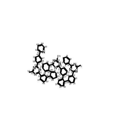 Cc1nc(-c2ccccc2)nc(-c2cccc(-c3ccccc3-c3cccc(-c4nc(I)nc(-c5ccccc5-c5ccccc5-c5cccc(-c6nc(C)nc(-c7ccc(-c8ccccn8)cc7)n6)c5)n4)c3)c2)n1